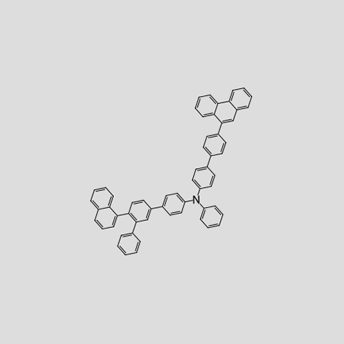 c1ccc(-c2cc(-c3ccc(N(c4ccccc4)c4ccc(-c5ccc(-c6cc7ccccc7c7ccccc67)cc5)cc4)cc3)ccc2-c2cccc3ccccc23)cc1